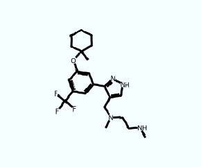 CNCCN(C)Cc1c[nH]nc1-c1cc(OC2(C)CCCCC2)cc(C(F)(F)F)c1